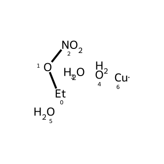 CCO[N+](=O)[O-].O.O.O.[Cu]